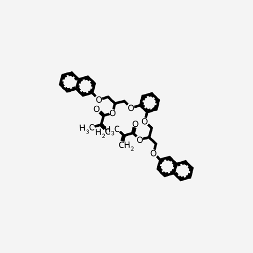 C=C(C)C(=O)OC(COc1ccc2ccccc2c1)COc1ccccc1OCC(COc1ccc2ccccc2c1)OC(=O)C(=C)C